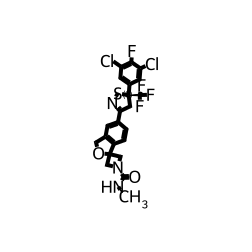 CNC(=O)N1CC2(C1)OCc1cc(C3=NS[C@@](c4cc(Cl)c(F)c(Cl)c4)(C(F)(F)F)C3)ccc12